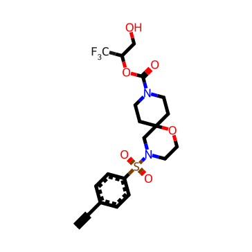 C#Cc1ccc(S(=O)(=O)N2CCOC3(CCN(C(=O)OC(CO)C(F)(F)F)CC3)C2)cc1